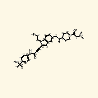 CN(C)CC(=O)N1CCC(NCc2ccc3c(c2)cc(C#CC(=O)Nc2ccc(C(C)(C)C#N)nc2)n3CCF)CC1